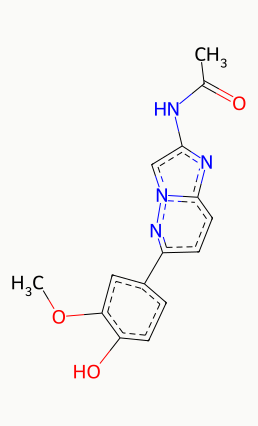 COc1cc(-c2ccc3nc(NC(C)=O)cn3n2)ccc1O